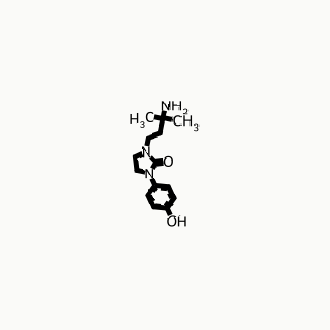 CC(C)(N)CCN1CCN(c2ccc(O)cc2)C1=O